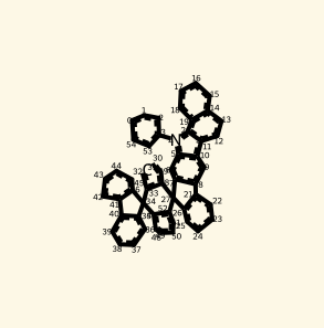 c1ccc(-n2c3cc4c(cc3c3ccc5ccccc5c32)-c2ccccc2C42c3ccccc3C3(c4ccccc4-c4ccccc43)c3ccccc32)cc1